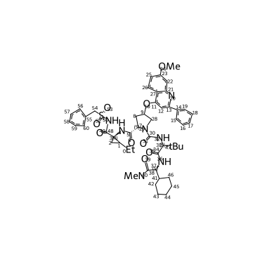 CCC1C[C@]1(NC(=O)[C@@H]1CC(Oc2cc(-c3ccccc3)nc3cc(OC)ccc23)CN1C(=O)N[C@H](C(=O)N[C@H](C(=O)NC)C1CCCCC1)C(C)(C)C)C(=O)NS(=O)(=O)Cc1ccccc1